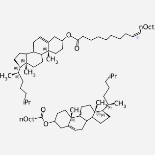 CCCCCCCC/C=C\CCCCCCCC(=O)OC1CC[C@@]2(C)C(=CCC3C2CC[C@@]2(C)C3CC[C@@H]2[C@H](C)CCCC(C)C)C1.CCCCCCCCC(=O)OC1CC[C@@]2(C)C(=CCC3C2CC[C@@]2(C)C3CC[C@@H]2[C@H](C)CCCC(C)C)C1